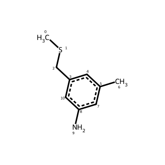 CSCc1cc(C)cc(N)c1